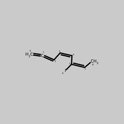 C=C=C/C=C\C(I)=C/C